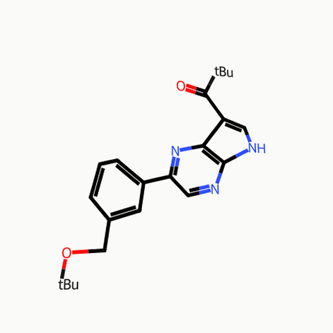 CC(C)(C)OCc1cccc(-c2cnc3[nH]cc(C(=O)C(C)(C)C)c3n2)c1